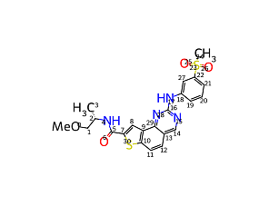 COC[C@H](C)NC(=O)c1cc2c(ccc3cnc(Nc4cccc(S(C)(=O)=O)c4)nc32)s1